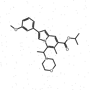 COc1cccc(-c2cc3cc(C(=O)OC(C)C)c(C)c(C(C)N4CCOCC4)n3c2)c1